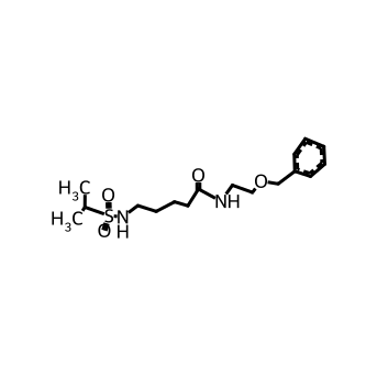 CC(C)S(=O)(=O)NCCCCC(=O)NCCOCc1ccccc1